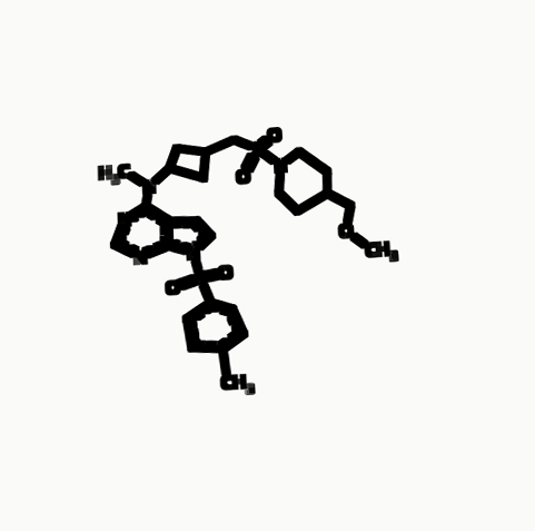 COCC1CCN(S(=O)(=O)CC2CC(N(C)c3ncnc4c3ccn4S(=O)(=O)c3ccc(C)cc3)C2)CC1